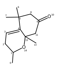 CC1CC=C2C(C)(C)CC(=O)CC2(C)O1